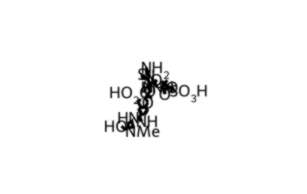 CN[C@]1(CO)C[C@H](NC(=N)c2ccc3c(c2)CC[C@H]([C@](C)(O/N=C(\C(=O)N[C@@H]2C(=O)N(OS(=O)(=O)O)C2(C)C)c2csc(N)n2)C(=O)O)O3)C1